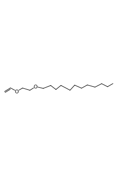 C=COCCOCCCCCCCCCCCC